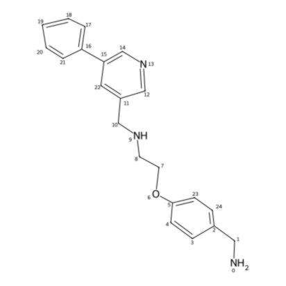 NCc1ccc(OCCNCc2cncc(-c3ccccc3)c2)cc1